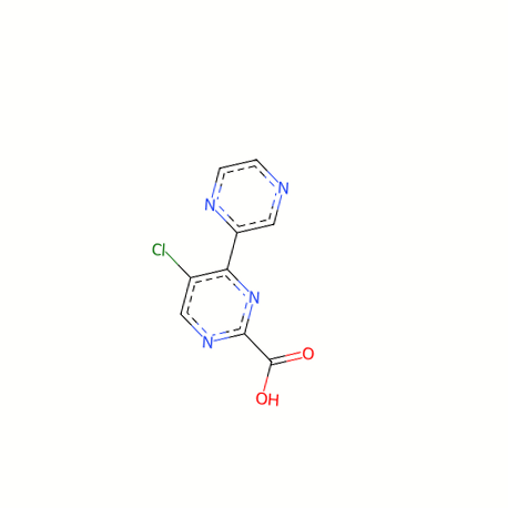 O=C(O)c1ncc(Cl)c(-c2cnccn2)n1